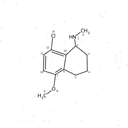 CNC1CCCc2c(OC)ccc(Cl)c21